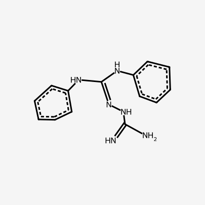 N=C(N)NN=C(Nc1ccccc1)Nc1ccccc1